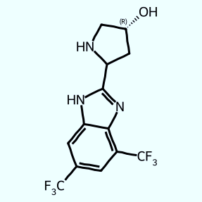 O[C@H]1CNC(c2nc3c(C(F)(F)F)cc(C(F)(F)F)cc3[nH]2)C1